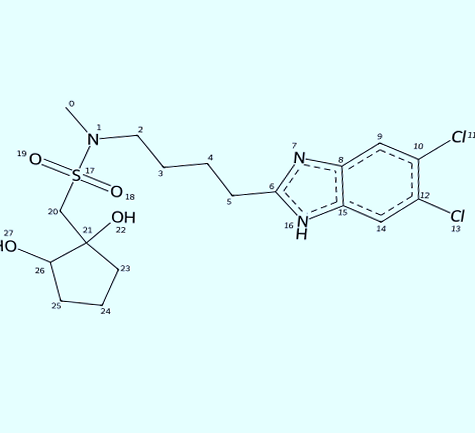 CN(CCCCc1nc2cc(Cl)c(Cl)cc2[nH]1)S(=O)(=O)CC1(O)CCCC1O